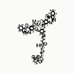 COc1cc2c(cc1OCc1cc(COc3cc4c(cc3OC)C(=O)N3c5ccccc5C[C@H]3C=N4)cc(OCCCC(=O)NCCOCCC(=O)ON3C(=O)CCC3=O)c1)N=C[C@@H]1Cc3ccccc3N1C2=O